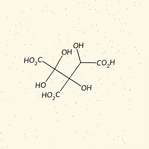 O=C(O)C(O)C(O)(C(=O)O)C(O)(O)C(=O)O